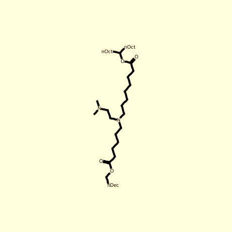 CCCCCCCCCCCOC(=O)CCCCCN(CCCCCCCC(=O)OC(CCCCCCCC)CCCCCCCC)CCN(C)C